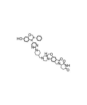 O=C1CCC(N2Cc3cc4c(cc3C2=O)OC[C@@H]2CN(CC3CCN(c5ncc([C@@H]6c7ccc(O)cc7OC[C@@H]6c6ccccc6)cn5)CC3)CCN42)C(=O)N1